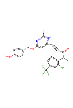 COc1ccc(COc2cc(C#CC(=O)C(C)c3ccc(C(F)(F)F)cc3F)nc(C)n2)cc1